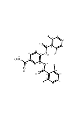 Cc1cccc(C)c1C(=O)Oc1ccc(C(=O)C=O)cc1OC(=O)c1c(C)cccc1C